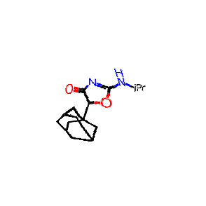 CC(C)NC1=NC(=O)C(C23CC4CC(CC(C4)C2)C3)O1